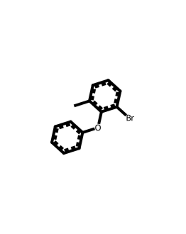 Cc1cccc(Br)c1Oc1ccccc1